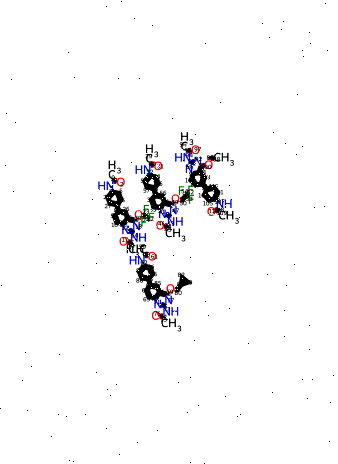 CC(=O)Nc1ccc(-c2ccc3nc(NC(C)=O)nc(OC(F)(F)F)c3c2)cc1.CC(=O)Nc1ccc(-c2ccc3nc(NC(C)=O)nc(OCC(F)(F)F)c3c2)cc1.CC(=O)Nc1ccc(-c2ccc3nc(NC(C)=O)nc(OCC4CC4)c3c2)cc1.CCOc1nc(NC(C)=O)nc2ccc(-c3ccc(NC(C)=O)cc3)cc12